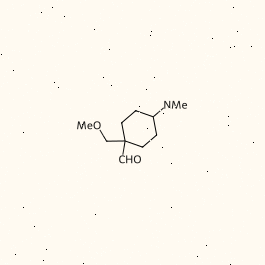 CNC1CCC(C=O)(COC)CC1